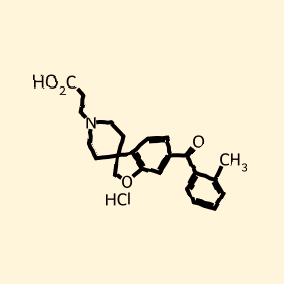 Cc1ccccc1C(=O)c1ccc2c(c1)OCC21CCN(CCC(=O)O)CC1.Cl